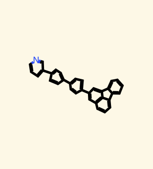 c1cncc(-c2ccc(-c3ccc(-c4cc5c6c(cccc6c4)-c4ccccc4-5)cc3)cc2)c1